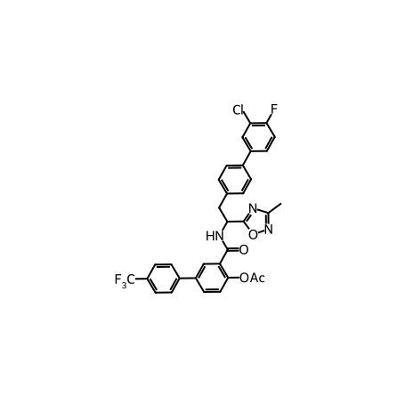 CC(=O)Oc1ccc(-c2ccc(C(F)(F)F)cc2)cc1C(=O)NC(Cc1ccc(-c2ccc(F)c(Cl)c2)cc1)c1nc(C)no1